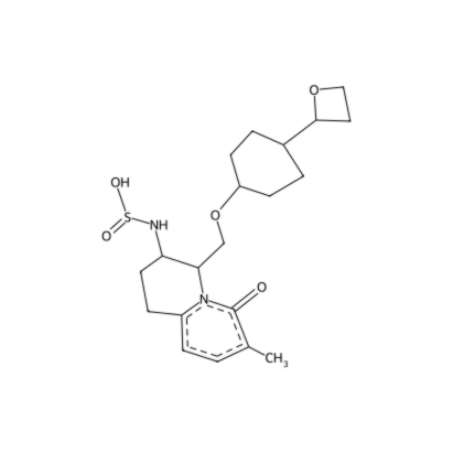 Cc1ccc2n(c1=O)C(COC1CCC(C3CCO3)CC1)C(NS(=O)O)CC2